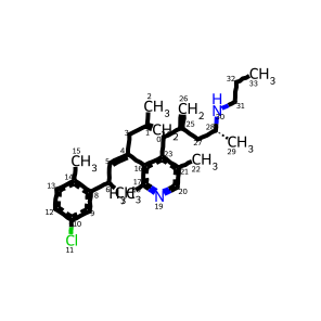 C=C(C)C/C(=C/C(C)c1cc(Cl)ccc1C)c1c(C)ncc(C)c1CC(=C)C[C@@H](C)NCCC